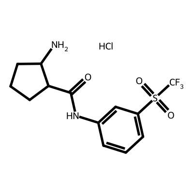 Cl.NC1CCCC1C(=O)Nc1cccc(S(=O)(=O)C(F)(F)F)c1